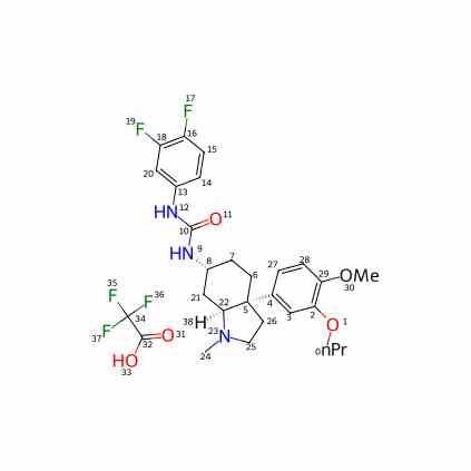 CCCOc1cc([C@@]23CC[C@@H](NC(=O)Nc4ccc(F)c(F)c4)C[C@@H]2N(C)CC3)ccc1OC.O=C(O)C(F)(F)F